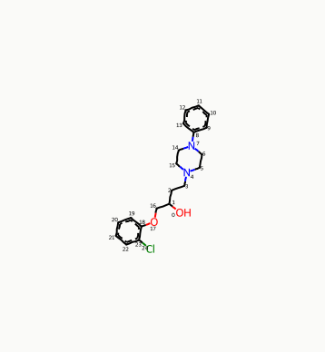 OC(CCN1CCN(c2ccccc2)CC1)COc1ccccc1Cl